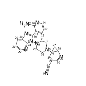 N#CC1=CC2(N3CCN(n4c(-c5cccnc5N)nc5cccnc54)CC3)CC2N=C1